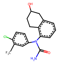 NC(=O)N(c1ccc(Cl)c(C(F)(F)F)c1)c1cccc2c1CCC(O)C2